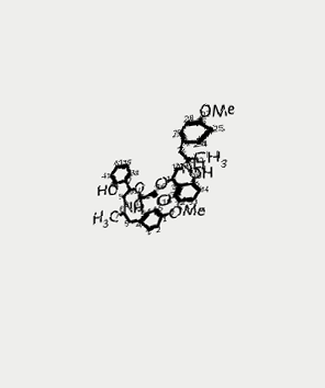 COc1ccc(CC(C)NCC(OC(=O)C(=O)OC(CNC(C)Cc2ccc(OC)cc2)c2ccccc2O)c2ccccc2O)cc1